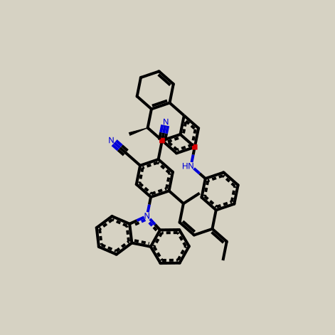 C/C=C(\C=C/C(C)c1cc(C#N)c(C#N)cc1-n1c2ccccc2c2ccccc21)c1cccc(NCc2c3cccc2[C@@H](C)C2=C3C=CCC2)c1